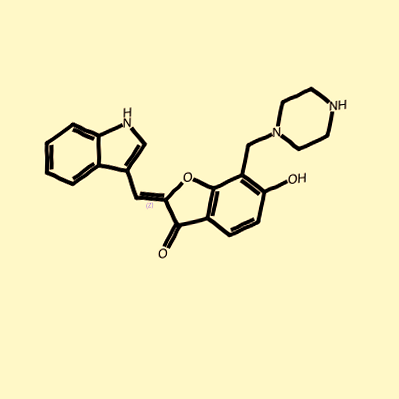 O=C1/C(=C/c2c[nH]c3ccccc23)Oc2c1ccc(O)c2CN1CCNCC1